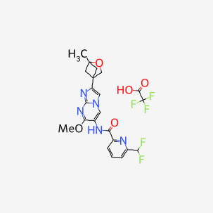 COc1nc2nc(C34COC(C)(C3)C4)cn2cc1NC(=O)c1cccc(C(F)F)n1.O=C(O)C(F)(F)F